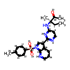 CC[C@@](C)(Nc1ccnc(-c2cn(S(=O)(=O)c3ccc(C)cc3)c3ncccc23)n1)C(C)=O